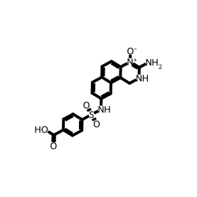 NC1=[N+]([O-])c2ccc3ccc(NS(=O)(=O)c4ccc(C(=O)O)cc4)cc3c2CN1